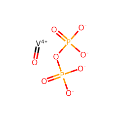 O=P([O-])([O-])OP(=O)([O-])[O-].[O]=[V+4]